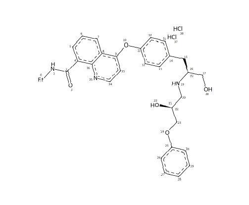 CCNC(=O)c1cccc2c(Oc3ccc(C[C@@H](CO)NC[C@H](O)COc4ccccc4)cc3)ccnc12.Cl.Cl